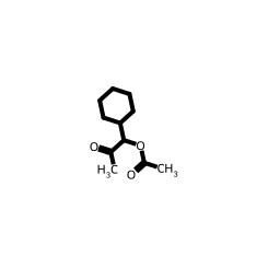 CC(=O)OC(C(C)=O)C1CCCCC1